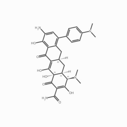 CN(C)c1ccc(-c2cc(N)c(O)c3c2C[C@H]2C[C@H]4[C@@H](N(C)C)C(O)=C(C(N)=O)C(=O)[C@@]4(O)C(O)=C2C3=O)cc1